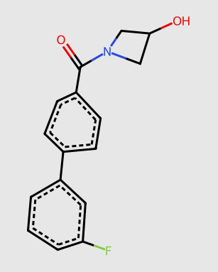 O=C(c1ccc(-c2cccc(F)c2)cc1)N1CC(O)C1